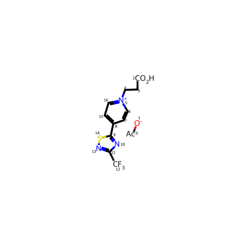 CC(=O)[O-].O=C(O)CC[n+]1ccc(-c2nc(C(F)(F)F)ns2)cc1